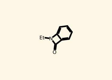 CCN1C(=O)c2ccccc21